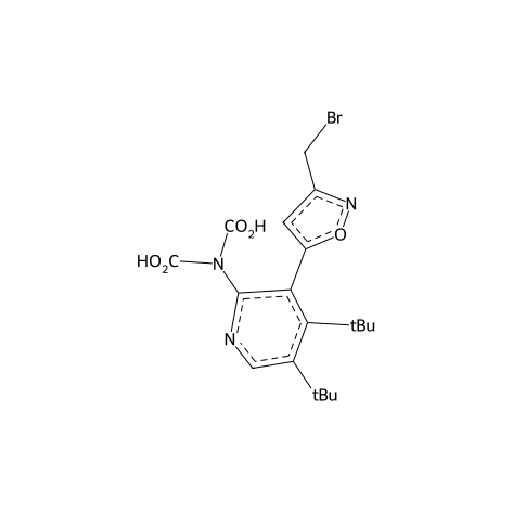 CC(C)(C)c1cnc(N(C(=O)O)C(=O)O)c(-c2cc(CBr)no2)c1C(C)(C)C